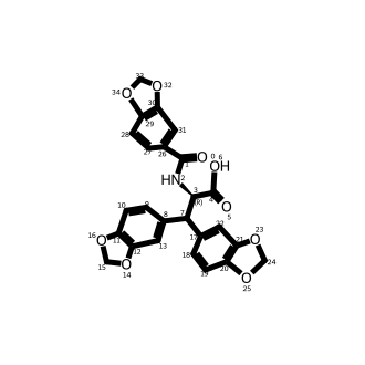 O=C(N[C@@H](C(=O)O)C(c1ccc2c(c1)OCO2)c1ccc2c(c1)OCO2)c1ccc2c(c1)OCO2